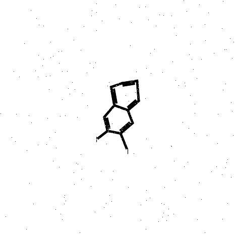 Ic1cc2ccccc2cc1I